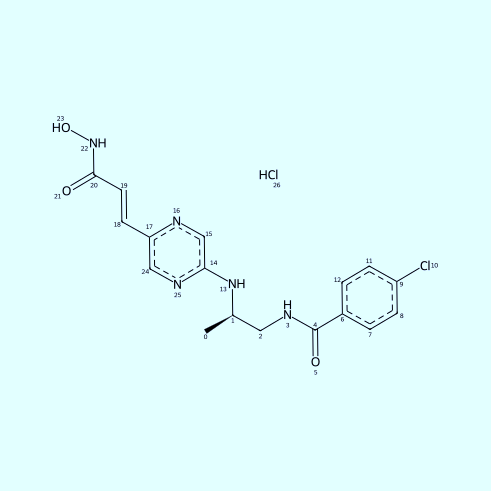 C[C@H](CNC(=O)c1ccc(Cl)cc1)Nc1cnc(C=CC(=O)NO)cn1.Cl